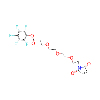 O=C(CCOCCOCCOCCN1C(=O)C=CC1=O)Oc1c(F)c(F)c(F)c(F)c1F